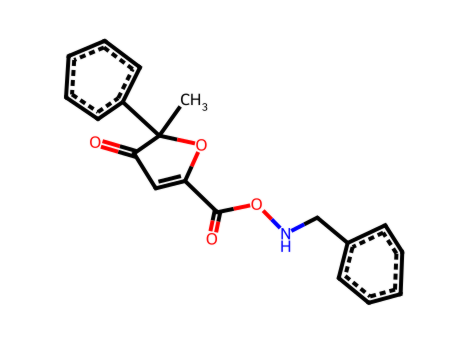 CC1(c2ccccc2)OC(C(=O)ONCc2ccccc2)=CC1=O